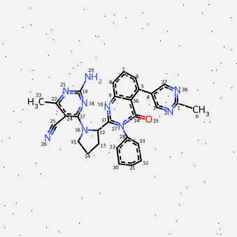 Cc1ncc(-c2cccc3nc(C4CCCN4c4nc(N)nc(C)c4C#N)n(-c4ccccc4)c(=O)c23)cn1